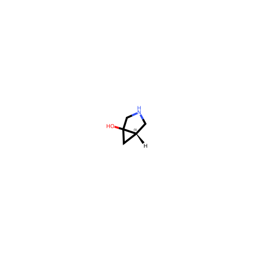 OC12CNC[C@@H]1C2